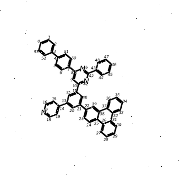 c1ccc(-c2ccc(-c3cc(-c4cc(-c5ccncc5)cc(-c5ccc6c7ccccc7c7ccccc7c6c5)c4)nc(-c4ccccc4)n3)cc2)cc1